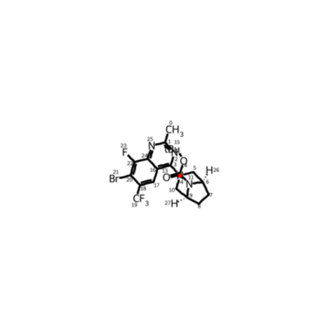 Cc1nc(N2C[C@H]3CC[C@@H](C2)N3C(=O)OC(C)(C)C)c2cc(C(F)(F)F)c(Br)c(F)c2n1